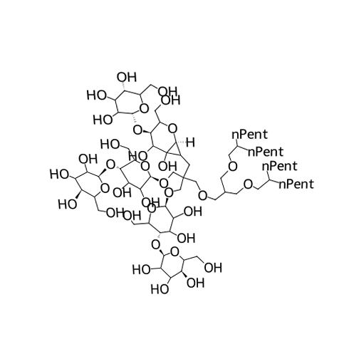 CCCCCC(CCCCC)COCC(COCC(CCCCC)CCCCC)COCC(CO[C@@H]1OC(CO)[C@@H](O[C@H]2OC(CO)[C@@H](O)C(O)C2O)C(O)C1O)(CO[C@@H]1OC(CO)[C@@H](O[C@H]2OC(CO)[C@@H](O)C(O)C2O)C(O)C1O)CC1[C@@H]2OC(CO)[C@H](O[C@H]3OC(CO)[C@@H](O)C(O)C3O)C(O)C12O